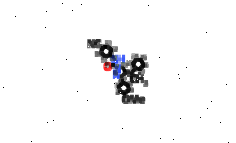 COc1ccc(C2=NN(C(=O)Nc3ccc(C#N)cc3)C[C@@H]2C(C)c2ccccc2)cc1